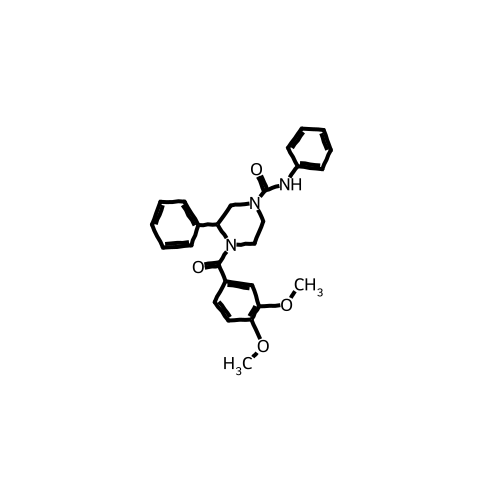 COc1ccc(C(=O)N2CCN(C(=O)Nc3ccccc3)CC2c2ccccc2)cc1OC